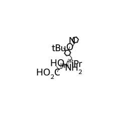 CC(C[C@H](O)[C@@H](N)C[C@H](Cc1ccc(C(C)(C)C)c(OCc2ccccn2)c1)C(C)C)C(=O)O